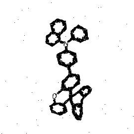 c1ccc(N(c2ccc(-c3ccc4c(c3)Oc3ccccc3C43c4ccccc4-c4ccccc43)cc2)c2cccc3ccccc23)cc1